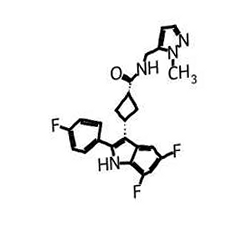 Cn1nccc1CNC(=O)[C@H]1C[C@@H](c2c(-c3ccc(F)cc3)[nH]c3c(F)cc(F)cc32)C1